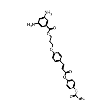 CCCCC(=O)Oc1ccc(OC(=O)C=Cc2ccc(OCCCOC(=O)c3cc(N)cc(N)c3)cc2)cc1